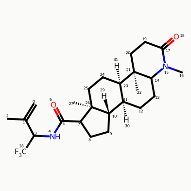 C=C(C)C(NC(=O)C1CC[C@H]2[C@@H]3CCC4N(C)C(=O)CC[C@]4(C)[C@@H]3CC[C@]12C)C(F)(F)F